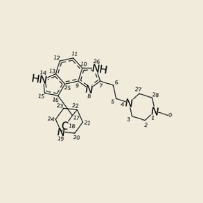 CN1CCN(CCc2nc3c(ccc4[nH]cc(C5CN6CCC5CC6)c43)[nH]2)CC1